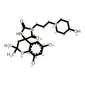 CC1(C)CC2(NC(=O)N(CCCN3CCC(O)CC3)C2=O)c2cc(Cl)cc(Cl)c2O1